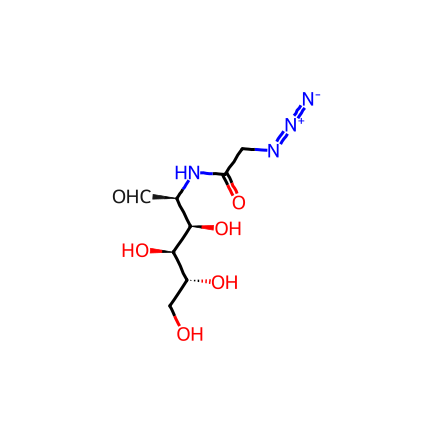 [N-]=[N+]=NCC(=O)N[C@H](C=O)[C@@H](O)[C@H](O)[C@H](O)CO